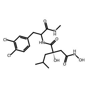 CNC(=O)C(Cc1ccc(Cl)c(Cl)c1)NC(=O)[C@@](O)(CC(=O)NO)CC(C)C